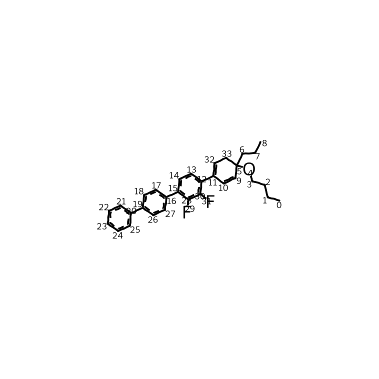 CCCCOC1(CCC)C=CC(c2ccc(-c3ccc(-c4ccccc4)cc3)c(F)c2F)=CC1